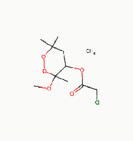 C.COC1(C)OOC(C)(C)CC1OC(=O)CCl